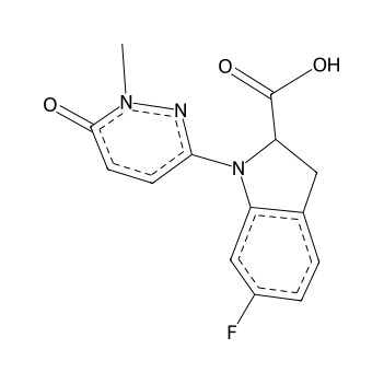 Cn1nc(N2c3cc(F)ccc3CC2C(=O)O)ccc1=O